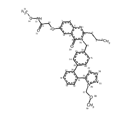 CCCc1nc2ccc(OCC(=O)NOC)cc2c(=O)n1Cc1ccc(-c2ccccc2-c2nnnn2COC)cc1